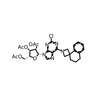 CC(=O)OC[C@H]1O[C@@H](n2cnc3c(N4CC5(CCCc6ccccc65)C4)nc(Cl)nc32)[C@H](OC(C)=O)[C@@H]1OC(C)=O